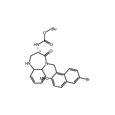 COc1ccc2cc(Br)ccc2c1CN1C(=O)[C@@H](NC(=O)OC(C)(C)C)CNC2C=CC=CC21